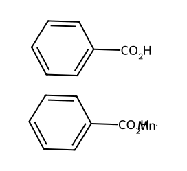 O=C(O)c1ccccc1.O=C(O)c1ccccc1.[Mn]